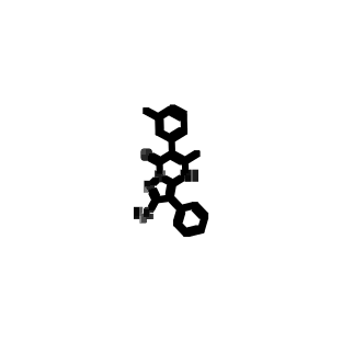 Cc1c#ccc(-c2c(C)[nH]c3c(-c4ccccc4)c(C(F)(F)F)nn3c2=O)c1